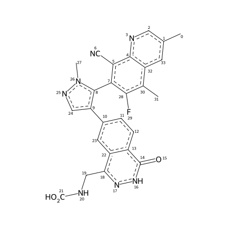 Cc1cnc2c(C#N)c(-c3c(-c4ccc5c(=O)[nH]nc(CNC(=O)O)c5c4)cnn3C)c(F)c(C)c2c1